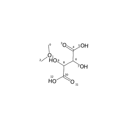 COC.O=C(O)C(O)C(O)C(=O)O